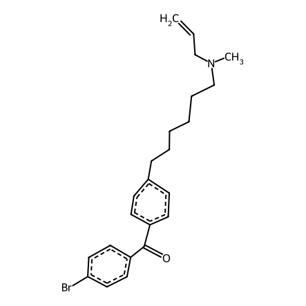 C=CCN(C)CCCCCCc1ccc(C(=O)c2ccc(Br)cc2)cc1